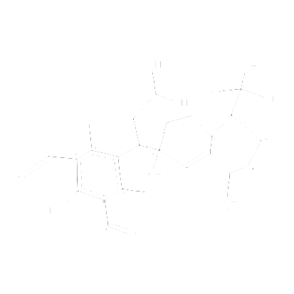 CC(C)CC(c1c(O)c(C=O)c(O)c(C=O)c1O)C1(C)C=C2C(C)CCC(C(C)(C)O)C2CC1